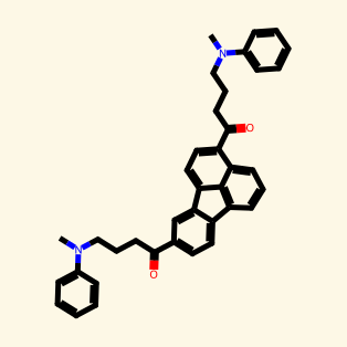 CN(CCCC(=O)c1ccc2c(c1)-c1ccc(C(=O)CCCN(C)c3ccccc3)c3cccc-2c13)c1ccccc1